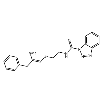 CN/C(=C\SCCNC(=O)n1nnc2ccccc21)Cc1ccccc1